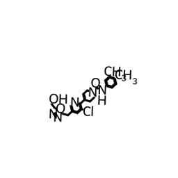 Cc1ccc(NC(=O)N2CC=C(c3ncc(Cc4nnc(CO)o4)cc3Cl)CC2)cc1C